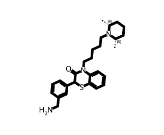 C[C@@H]1CCC[C@H](C)N1CCCCCN1C(=O)C(c2cccc(CN)c2)Sc2ccccc21